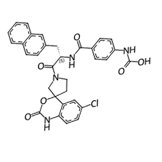 O=C(O)Nc1ccc(C(=O)N[C@@H](Cc2ccc3ccccc3c2)C(=O)N2CCC3(C2)OC(=O)Nc2ccc(Cl)cc23)cc1